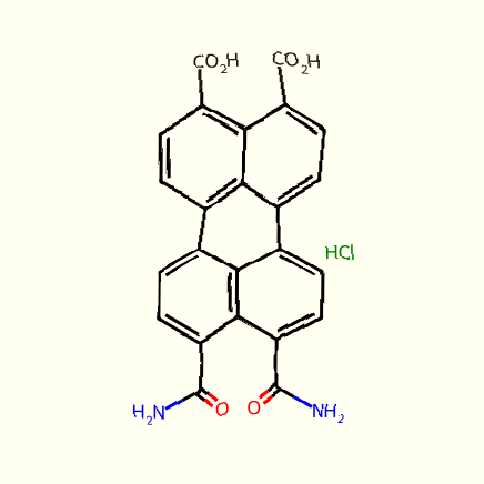 Cl.NC(=O)c1ccc2c3ccc(C(=O)O)c4c(C(=O)O)ccc(c5ccc(C(N)=O)c1c25)c43